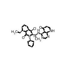 C=Cc1cccc2c(Cl)c([C@H](C)Nc3ncnc4[nH]ccc(=O)c34)n(-c3ccccc3)c(=O)c12